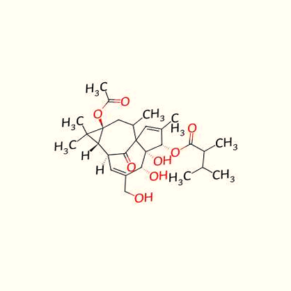 CC(=O)O[C@@]12CC(C)C34C=C(C)[C@H](OC(=O)C(C)C(C)C)[C@@]3(O)[C@H](O)C(CO)=C[C@H](C4=O)[C@@H]1C2(C)C